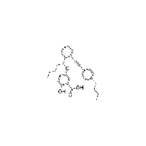 CCCCc1ccc(C#Cc2ccccc2C(CCCC)Oc2ccc(O)c(C(=O)O)c2)cc1